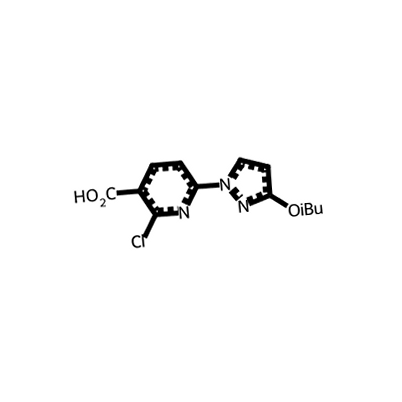 CC(C)COc1ccn(-c2ccc(C(=O)O)c(Cl)n2)n1